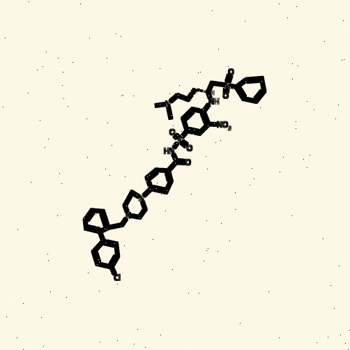 CN(C)CCC[C@H](CS(=O)(=O)c1ccccc1)Nc1ccc(S(=O)(=O)NC(=O)c2ccc(N3CCN(Cc4ccccc4-c4ccc(Cl)cc4)CC3)cc2)cc1[N+](=O)[O-]